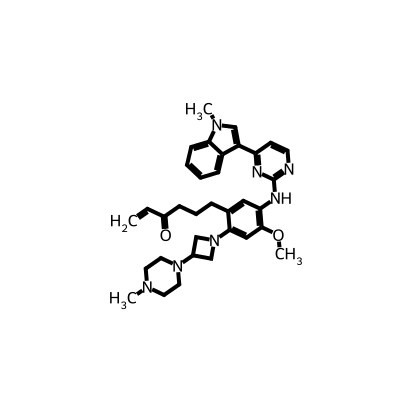 C=CC(=O)CCCc1cc(Nc2nccc(-c3cn(C)c4ccccc34)n2)c(OC)cc1N1CC(N2CCN(C)CC2)C1